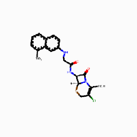 O=C(CNc1ccc2cccc([N+](=O)[O-])c2c1)NC1C(=O)N2C(C(=O)O)=C(Cl)CS[C@@H]12